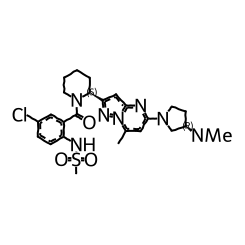 CN[C@@H]1CCN(c2cc(C)n3nc([C@@H]4CCCCN4C(=O)c4cc(Cl)ccc4NS(C)(=O)=O)cc3n2)C1